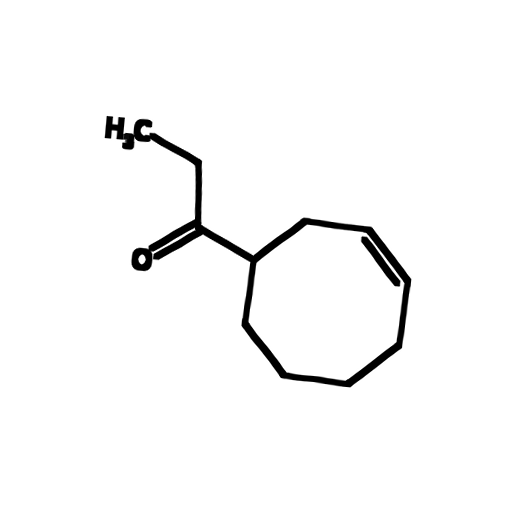 CCC(=O)C1C/C=C\CCCC1